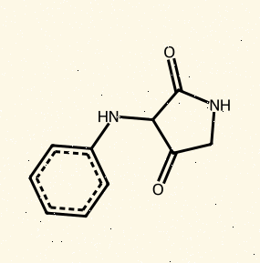 O=C1CNC(=O)C1Nc1ccccc1